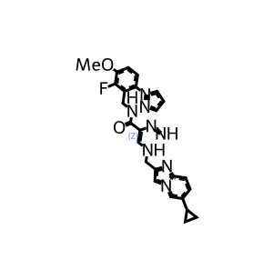 COc1ccc(-n2cccn2)c(CNC(=O)/C(=C/NCc2cn3cc(C4CC4)ccc3n2)N=N)c1F